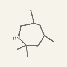 CC1CNC(C)(C)CC(C)C1